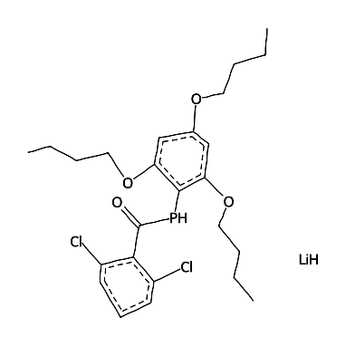 CCCCOc1cc(OCCCC)c(PC(=O)c2c(Cl)cccc2Cl)c(OCCCC)c1.[LiH]